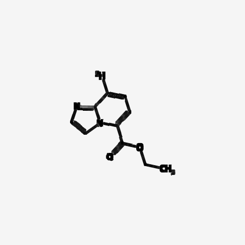 [2H]c1ccc(C(=O)OCC)n2ccnc12